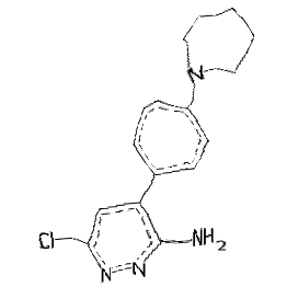 Nc1nnc(Cl)cc1-c1ccc(N2CCCCC2)cc1